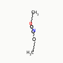 CCCCCCCCOc1ccc(-c2ccc(CC[C@H]3CC[C@H](CCCCCCCC)CC3)cn2)cc1